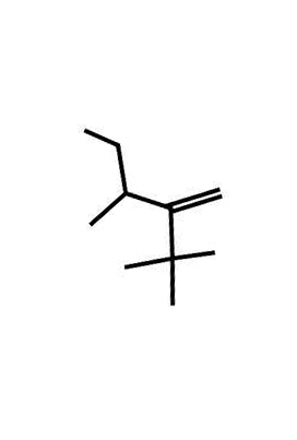 C=C(C(C)CC)C(C)(C)C